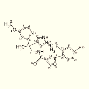 COc1ccnc(C(C)(CNC(=O)c2cc(-c3ccc(F)cc3F)on2)c2cnn(C)c2)c1